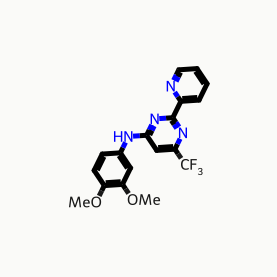 COc1ccc(Nc2cc(C(F)(F)F)nc(-c3ccccn3)n2)cc1OC